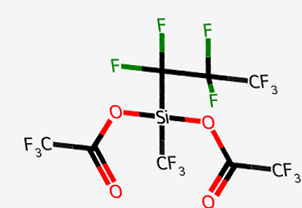 O=C(O[Si](OC(=O)C(F)(F)F)(C(F)(F)F)C(F)(F)C(F)(F)C(F)(F)F)C(F)(F)F